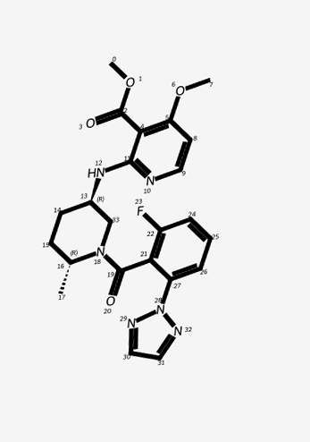 COC(=O)c1c(OC)ccnc1N[C@@H]1CC[C@@H](C)N(C(=O)c2c(F)cccc2-n2nccn2)C1